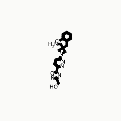 NCC1(Cc2ccccc2Cl)CN(c2ccc(-c3nc(CO)no3)nn2)C1